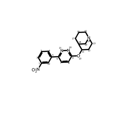 O=[N+]([O-])c1cccc(-c2ccc(OC3CCN4CCCC3C4)nn2)c1